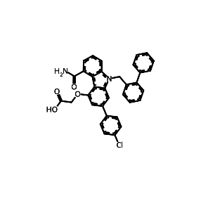 NC(=O)c1cccc2c1c1c(OCC(=O)O)cc(-c3ccc(Cl)cc3)cc1n2Cc1ccccc1-c1ccccc1